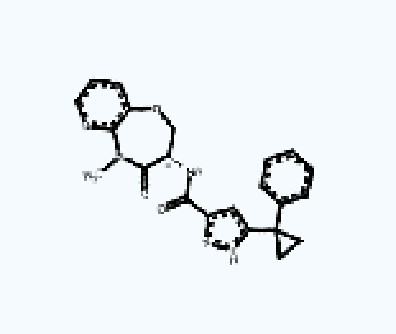 CN1C(=O)[C@@H](NC(=O)c2cc(C3(c4ccccc4)CC3)[nH]n2)COc2cccnc21